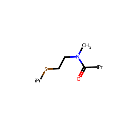 CC(C)SCCN(C)C(=O)C(C)C